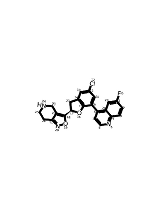 Fc1ccc2nccc(-c3cc(Cl)cc4c3O[C@@H](c3onc5c3CNCC5)C4)c2c1